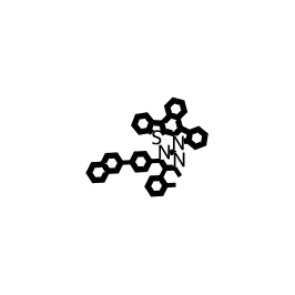 Cc1ccccc1-c1c(C)nc(-n2c3ccccc3c3c4ccccc4c4c5ccccc5sc4c32)nc1-c1ccc(-c2ccc3ccccc3c2)cc1